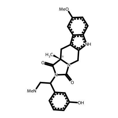 CNCC(c1cccc(O)c1)N1C(=O)N2Cc3[nH]c4ccc(OC)cc4c3C[C@@]2(C)C1=O